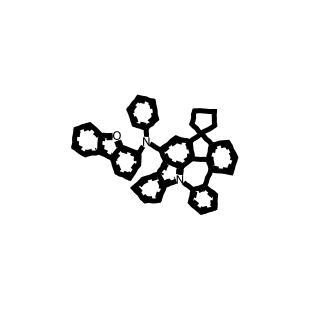 c1ccc(N(c2cccc3c2oc2ccccc23)c2cc3c4c5c2c2ccccc2n5-c2ccccc2-c2cccc(c2-4)C32CCCC2)cc1